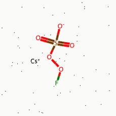 O=S(=O)([O-])OOF.[Cs+]